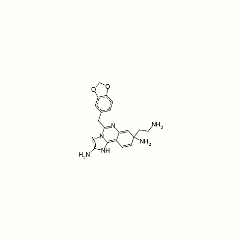 NCCC1(N)C=CC2=C3NC(N)=NN3C(Cc3ccc4c(c3)OCO4)=NC2=C1